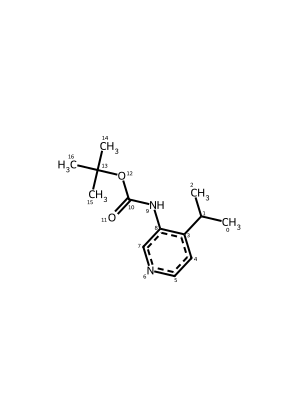 CC(C)c1ccncc1NC(=O)OC(C)(C)C